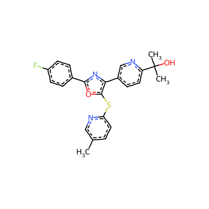 Cc1ccc(Sc2oc(-c3ccc(F)cc3)nc2-c2ccc(C(C)(C)O)nc2)nc1